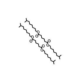 CC(C)CCCCCCOC(=O)CCCCC(=O)OCCCCCCC(C)C.CC(C)CCCCCCOC(=O)CCCCC(=O)OCCCCCCC(C)C